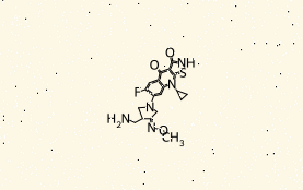 CO/N=C1\CN(c2cc3c(cc2F)c(=O)c2c(=O)[nH]sc2n3C2CC2)CC1CN